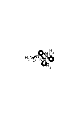 Cc1cccc(C)c1Nc1c(-c2c(O)cccc2OCC(N)=O)nc2ccccn12